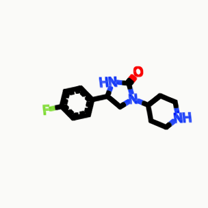 O=C1NC(c2ccc(F)cc2)CN1C1CCNCC1